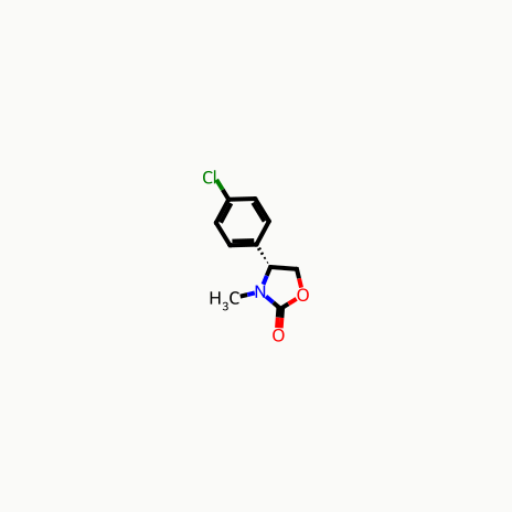 CN1C(=O)OC[C@H]1c1ccc(Cl)cc1